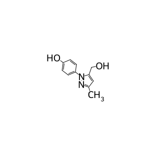 Cc1cc(CO)n(-c2ccc(O)cc2)n1